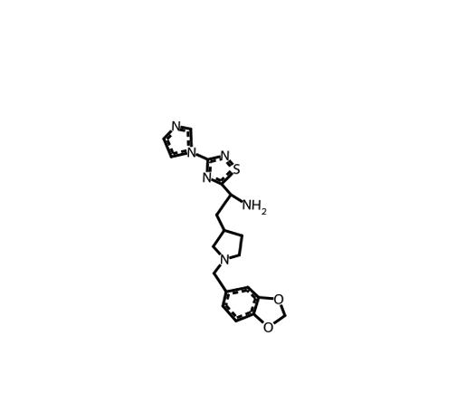 NC(CC1CCN(Cc2ccc3c(c2)OCO3)C1)c1nc(-n2ccnc2)ns1